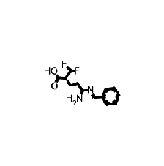 NC(CCC(C(=O)O)C(F)F)/N=C/c1ccccc1